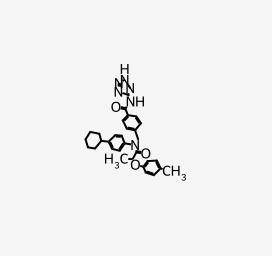 Cc1ccc(OC(C)C(=O)N(Cc2ccc(C(=O)Nc3nn[nH]n3)cc2)c2ccc(C3CCCCC3)cc2)cc1